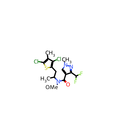 CON(C(=O)c1cn(C)nc1C(F)F)C(C)Cc1sc(Cl)c(C)c1Cl